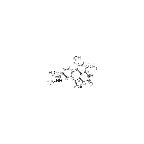 Cc1cc(CO)c(-c2ccc([C@@H](C)NN)cc2)c2c1[nH]c(=O)c1sccc12